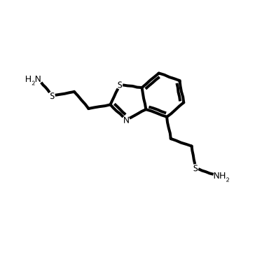 NSCCc1nc2c(CCSN)cccc2s1